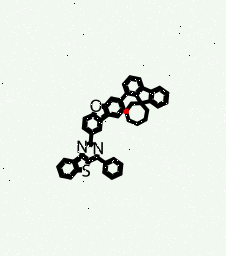 c1ccc(-c2nc(-c3ccc4oc5cc(-c6cccc7c6C6(CCCCCC6)c6ccccc6-7)ccc5c4c3)nc3c2sc2ccccc23)cc1